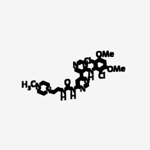 COc1cc(OC)c(Cl)c(Nc2ncncc2-c2cc(NC(=O)NCCN3CCN(C)CC3)ncn2)c1Cl